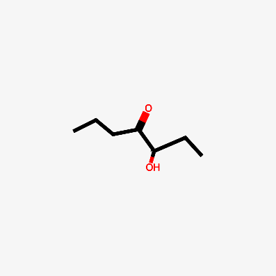 CCCC(=O)[C](O)CC